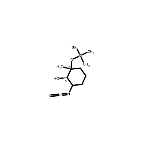 CC(C)(C)[Si](C)(C)O[C@]1(C)CCCC(N=[N+]=[N-])[C@H]1O